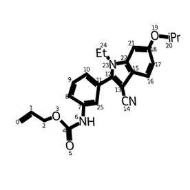 C=CCOC(=O)Nc1cccc(-c2c(C#N)c3ccc(OC(C)C)cc3n2CC)c1